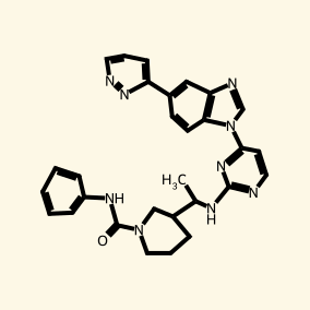 CC(Nc1nccc(-n2cnc3cc(-c4cccnn4)ccc32)n1)C1CCCN(C(=O)Nc2ccccc2)C1